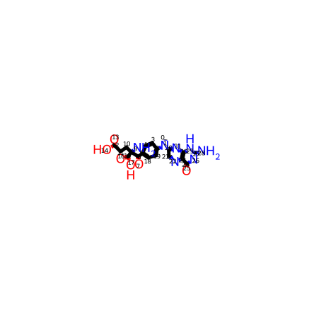 CN(c1ccc(C(=O)C(N)(CCC(=O)O)C(=O)O)cc1)c1cnc2c(=O)nc(N)[nH]c2n1